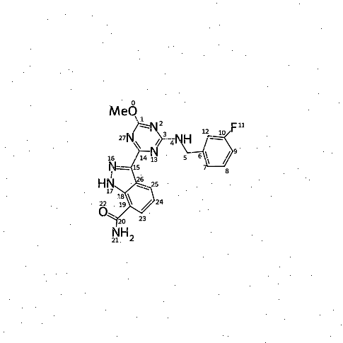 COc1nc(NCc2cccc(F)c2)nc(-c2n[nH]c3c(C(N)=O)cccc23)n1